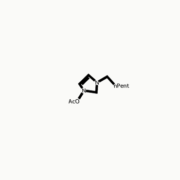 CCCCCCN1C=CN(OC(C)=O)C1